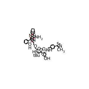 Cc1ncsc1-c1ccc(CNC(=O)[C@@H]2C[C@@H](O)CN2C(=O)[C@@H](NC(=O)COCCCc2cnc(N3C4CCC3CN(c3cc(-c5ccccc5O)nnc3N)C4)nc2)C(C)(C)C)cc1